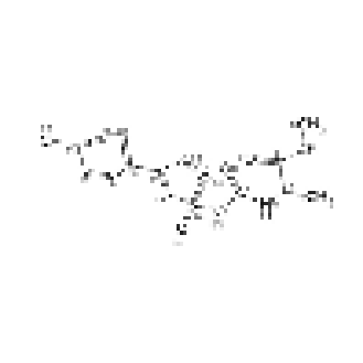 COC(=O)C(C)NC(=O)NS(=O)(=O)/C=C(\C)c1ccc(Cl)cc1